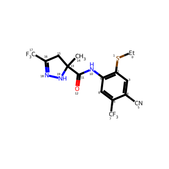 CCSc1cc(C#N)c(C(F)(F)F)cc1NC(=O)C1(C)CC(C(F)(F)F)=NN1